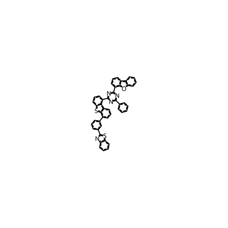 c1ccc(-c2nc(-c3cccc4c3oc3ccccc34)nc(-c3cccc4sc5c(-c6cccc(-c7nc8ccccc8s7)c6)cccc5c34)n2)cc1